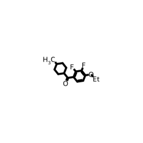 CCOc1ccc(C(=O)C2CCC(C)CC2)c(F)c1F